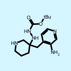 CC(C)(C)OC(=O)NNC1(Cc2ccncc2N)CCCNC1